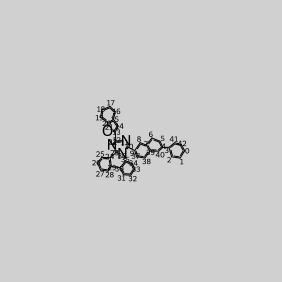 c1ccc(-c2ccc3cc(-c4nc(-c5cc6ccccc6o5)nc(-c5ccccc5-c5ccccc5)n4)ccc3c2)cc1